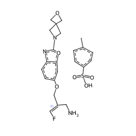 Cc1ccc(S(=O)(=O)O)cc1.NC/C(=C\F)COc1ccc2nc(N3CC4(COC4)C3)oc2c1